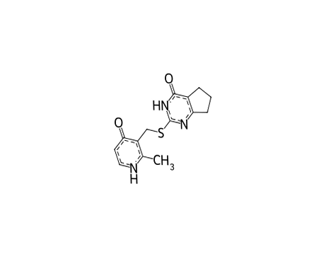 Cc1[nH]ccc(=O)c1CSc1nc2c(c(=O)[nH]1)CCC2